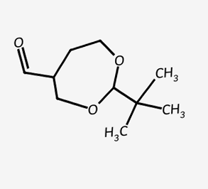 CC(C)(C)C1OCCC(C=O)CO1